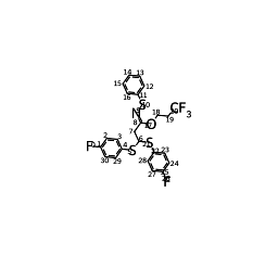 Fc1ccc(SC(C/C(=N/Sc2ccccc2)OCCC(F)(F)F)Sc2ccc(F)cc2)cc1